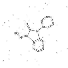 O=C1C(=NO)c2ccccc2N1c1ccccc1